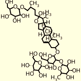 CC1O[C@@H](OC2[C@H](OC3CC[C@@]4(C)C(=CC[C@H]5[C@@H]6CC7OC(O)(CC[C@@H](C)CO[C@@H]8OC(CO)[C@@H](O)[C@H](O)C8O)[C@@H](C)[C@@H]7[C@@]6(C)CC[C@@H]54)C3)OC(CO)[C@@H](O[C@@H]3OC(CO)[C@@H](O)[C@H](O)C3O)[C@@H]2O)C(O)[C@@H](O)[C@H]1O